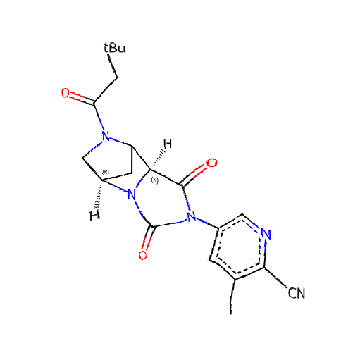 Cc1cc(N2C(=O)[C@@H]3C4C[C@H](CN4C(=O)CC(C)(C)C)N3C2=O)cnc1C#N